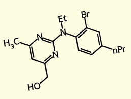 CCCc1ccc(N(CC)c2nc(C)cc(CO)n2)c(Br)c1